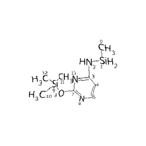 C[SiH2]Nc1ccnc(O[Si](C)(C)C)n1